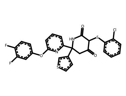 O=C1CC(c2ccsc2)(c2cccc(Oc3ccc(F)c(F)c3)n2)NC(=O)C1Sc1ccccc1Cl